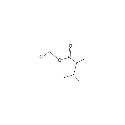 CC(C)C(C)C(=O)OCCl